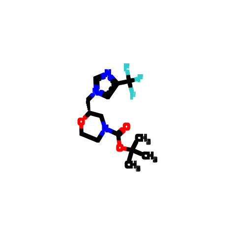 CC(C)(C)OC(=O)N1CCO[C@H](Cn2cnc(C(F)(F)F)c2)C1